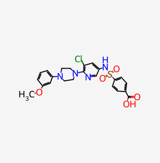 COc1cccc(N2CCN(c3ncc(NS(=O)(=O)c4ccc(C(=O)O)cc4)cc3Cl)CC2)c1